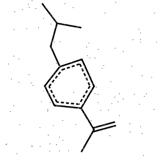 C=C(C)c1ccc(CC(C)C)cc1